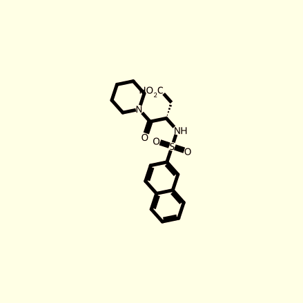 O=C(O)C[C@H](NS(=O)(=O)c1ccc2ccccc2c1)C(=O)N1CCCCC1